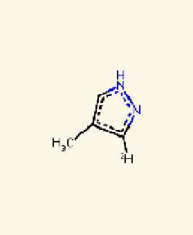 [2H]c1n[nH]cc1C